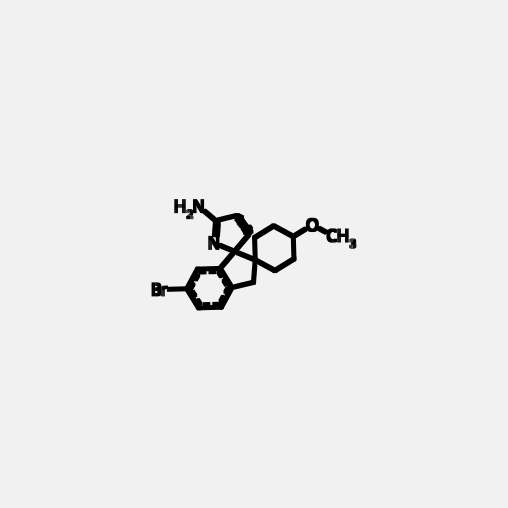 COC1CCC2(CC1)Cc1ccc(Br)cc1C21N=C(N)c2ccccc21